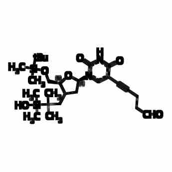 CC(C)(CC1C[C@H](n2cc(C#CCCC=O)c(=O)[nH]c2=O)O[C@@H]1CO[Si](C)(C)C(C)(C)C)[Si](C)(C)O